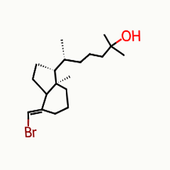 C[C@H](CCCC(C)(C)O)[C@H]1CCC2/C(=C/Br)CCC[C@@]21C